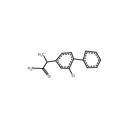 CC(C(N)=O)c1ccc(-c2ccccc2)c(Cl)c1